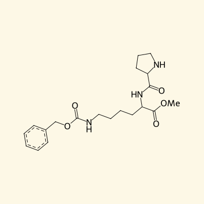 COC(=O)C(CCCCNC(=O)OCc1ccccc1)NC(=O)C1CCCN1